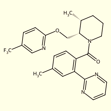 Cc1ccc(C(=O)N2CCC[C@@H](C)[C@H]2COc2ccc(C(F)(F)F)cn2)c(-c2ncccn2)c1